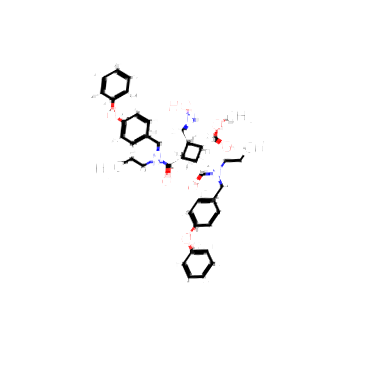 CCCN(Cc1ccc(Oc2ccccc2)cc1)C(=O)[C@H]1[C@@H](C(=O)OC)[C@H](C=NO)[C@@H]1C(=O)N(CCC)Cc1ccc(Oc2ccccc2)cc1